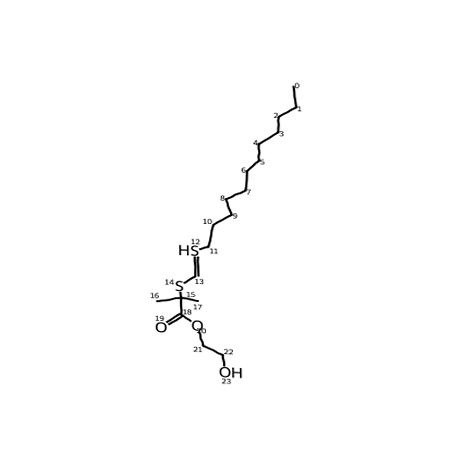 CCCCCCCCCCCC[SH]=CSC(C)(C)C(=O)OCCO